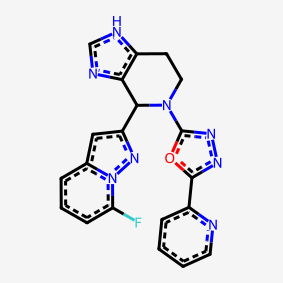 Fc1cccc2cc(C3c4nc[nH]c4CCN3c3nnc(-c4ccccn4)o3)nn12